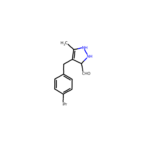 CC1=C(Cc2ccc(C(C)C)cc2)C(C=O)NN1